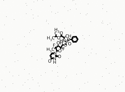 CC(C)OC(=O)[C@H](C)NP(=O)(OC[C@@]1(F)O[C@@H](n2ccc(=O)[nH]c2=O)[C@](C)(F)[C@@H]1O)Oc1ccccc1